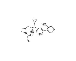 C=CC(=O)N1CCC1Cc1[nH]c2nnc(-c3ccccc3O)cc2c1C1CC1